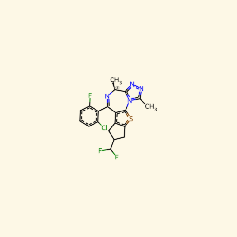 Cc1nnc2n1-c1sc3c(c1C(c1c(F)cccc1Cl)=N[C@H]2C)CC(C(F)F)C3